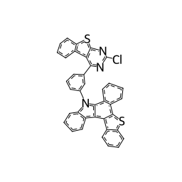 Clc1nc(-c2cccc(-n3c4ccccc4c4c5c6ccccc6sc5c5ccccc5c43)c2)c2c(n1)sc1ccccc12